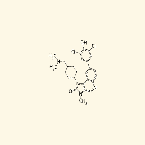 CN(C)CC1CCC(n2c(=O)n(C)c3cnc4ccc(-c5cc(Cl)c(O)c(Cl)c5)cc4c32)CC1